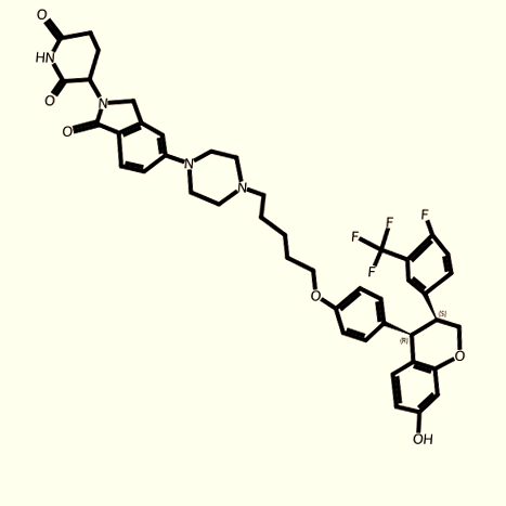 O=C1CCC(N2Cc3cc(N4CCN(CCCCCOc5ccc([C@@H]6c7ccc(O)cc7OC[C@@H]6c6ccc(F)c(C(F)(F)F)c6)cc5)CC4)ccc3C2=O)C(=O)N1